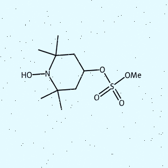 COS(=O)(=O)OC1CC(C)(C)N(O)C(C)(C)C1